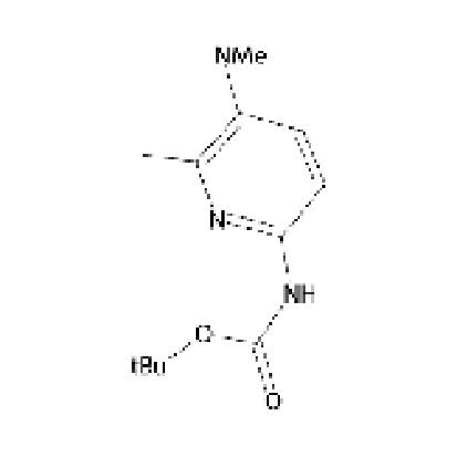 CNc1ccc(NC(=O)OC(C)(C)C)nc1C